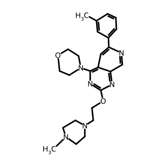 Cc1cccc(-c2cc3c(N4CCOCC4)nc(OCCN4CCN(C)CC4)nc3cn2)c1